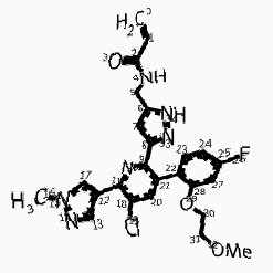 C=CC(=O)NCc1cc(-c2nc(-c3cnn(C)c3)c(Cl)cc2-c2ccc(F)cc2OCCOC)n[nH]1